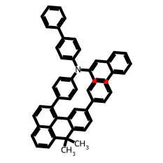 CC1(C)c2ccc(-c3ccccc3)cc2-c2c(-c3ccc(N(c4ccc(-c5ccccc5)cc4)c4ccc5ccccc5c4)cc3)ccc3cccc1c23